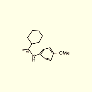 COc1ccc(N[C@@H](C)C2CCCCC2)cc1